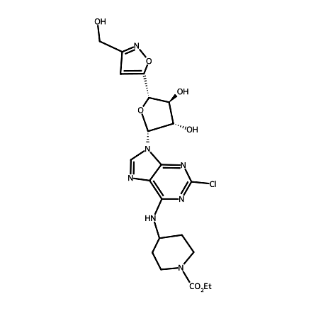 CCOC(=O)N1CCC(Nc2nc(Cl)nc3c2ncn3[C@@H]2O[C@H](c3cc(CO)no3)[C@@H](O)[C@@H]2O)CC1